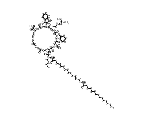 CCCCCCCCCCCCCCCC(=O)NCCOCCOCCOCCOCCC(=O)N[C@@H](CCCC)C(=O)N[C@H]1CCC(=O)CCNCCCC[C@@H](C(N)=O)NC(=O)[C@H](Cc2c[nH]c3ccccc23)NC(=O)[C@H](CCCNC(=N)N)NC(=O)[C@@H](Cc2ccccc2)NC(=O)[C@H](CN)NC1=O